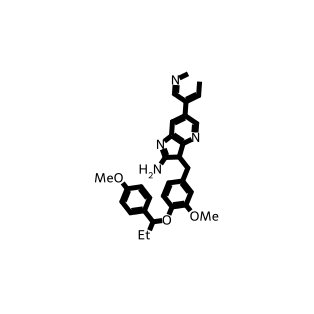 C/C=C(\C=N/C)c1cnc2c(c1)N=C(N)C2Cc1ccc(OC(CC)c2ccc(OC)cc2)c(OC)c1